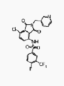 O=C1c2c(Cl)ccc(NS(=O)(=O)c3ccc(F)c(C(F)(F)F)c3)c2C(=O)N1Cc1cccnc1